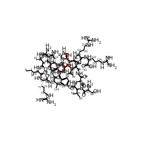 CC[C@H](C)[C@H](NC(=O)[C@@H](NC(=O)[C@H](CC(N)=O)NC(=O)[C@H](Cc1ccc(O)cc1)NC(=O)[C@H](Cc1c[nH]cn1)NC(=O)[C@H](C)NC(=O)[C@H](CS)NC(=O)[C@@H](NC(=O)[C@@H](N)CO)C(C)C)[C@@H](C)O)C(=O)N[C@@H](CCCNC(=N)N)C(=O)N[C@H](C(=O)N[C@@H](CCCNC(=N)N)C(=O)N[C@@H](CC(C)C)C(=O)N[C@@H](CS)C(=O)N[C@@H](CCCNC(=N)N)C(=O)N[C@@H](CCCNC(=N)N)C(=O)O)C(C)C